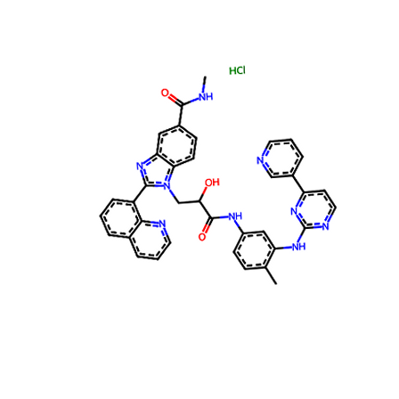 CNC(=O)c1ccc2c(c1)nc(-c1cccc3cccnc13)n2CC(O)C(=O)Nc1ccc(C)c(Nc2nccc(-c3cccnc3)n2)c1.Cl